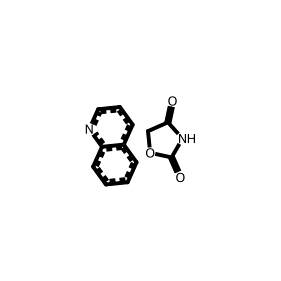 O=C1COC(=O)N1.c1ccc2ncccc2c1